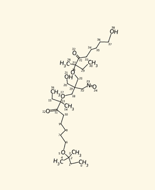 CCC(C)(C)OCCCCCC(=O)C(C)(CC)OCC(CO)(CN=O)COC(C)(CC)C(=O)CCCCCO